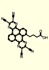 N#Cc1nc2c3cccc4c5nc(C#N)c(C#N)nc5c5c(CCCC(=O)O)ccc(c2nc1C#N)c5c34